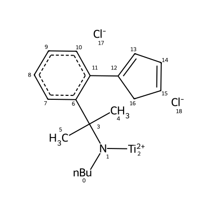 CCCC[N]([Ti+2])C(C)(C)c1ccccc1C1=CC=CC1.[Cl-].[Cl-]